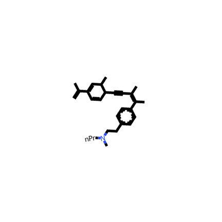 C=C(C)C1=CC(C)C(C#C/C(C)=C(/C)c2ccc(CCN(C)CCC)cc2)C=C1